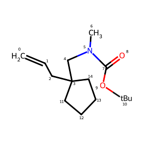 C=CCC1(CN(C)C(=O)OC(C)(C)C)CCCC1